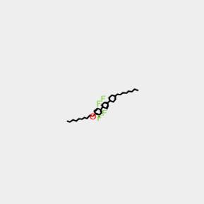 CCCCCCCCCOc1ccc(-c2ccc(C3CCC(CCCCCCCC)CC3)c(F)c2F)c(F)c1F